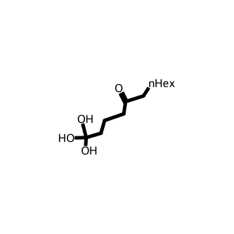 CCCCCCCC(=O)CCCC(O)(O)O